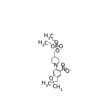 CCOP(=O)(OCC)OCC1CCN(c2cc3c(cc2[N+](=O)[O-])CC(C)(C)O3)CC1